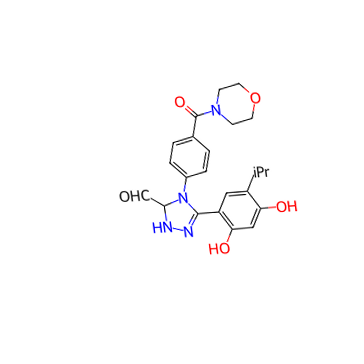 CC(C)c1cc(C2=NNC(C=O)N2c2ccc(C(=O)N3CCOCC3)cc2)c(O)cc1O